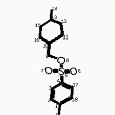 Cc1ccc(S(=O)(=O)OCC2CCC(C)CC2)cc1